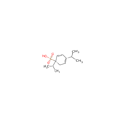 CC(C)C1=CCC(C(C)C)(S(=O)(=O)O)C=C1